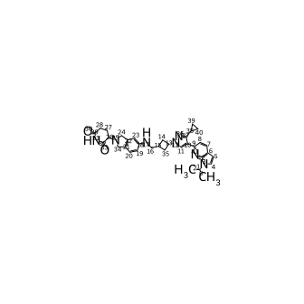 CC(C)n1ccc2ccc(-c3cn([C@H]4C[C@H](CNc5ccc6c(c5)CN(C5CCC(=O)NC5=O)C6)C4)nc3C3CC3)nc21